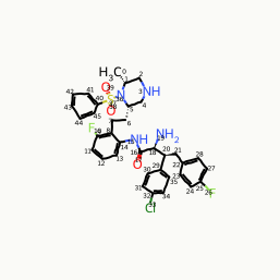 C[C@@H]1CNC[C@H](CCc2c(F)cccc2NC(=O)[C@@H](N)[C@@H](Cc2ccc(F)cc2)c2ccc(Cl)cc2)N1S(=O)(=O)c1ccccc1